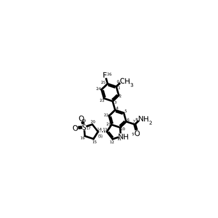 Cc1cc(-c2cc(C(N)=O)c3[nH]cc([C@@H]4CCS(=O)(=O)C4)c3c2)ccc1F